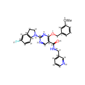 COc1cccc(COc2nc(N3CCc4cc(F)ccc43)ncc2C(=O)NCc2cccnc2)c1